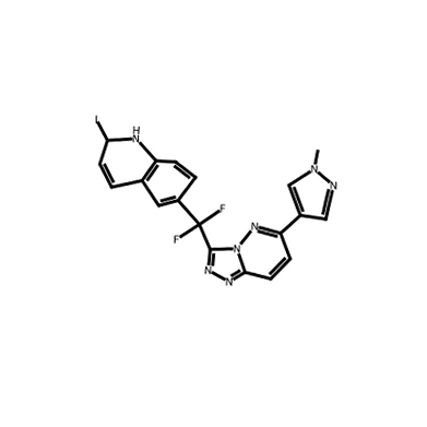 Cn1cc(-c2ccc3nnc(C(F)(F)c4ccc5c(c4)C=CC(I)N5)n3n2)cn1